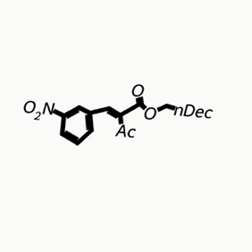 CCCCCCCCCCCOC(=O)/C(=C/c1cccc([N+](=O)[O-])c1)C(C)=O